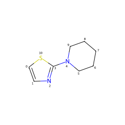 [c]1cnc(N2CCCCC2)s1